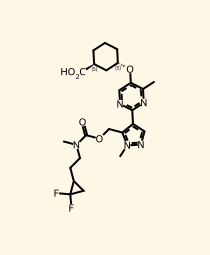 Cc1nc(-c2cnn(C)c2COC(=O)N(C)CCC2CC2(F)F)ncc1O[C@H]1CCC[C@H](C(=O)O)C1